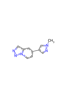 Cn1cc(-c2ccn3nncc3c2)cn1